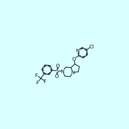 O=S(=O)(c1cccc(C(F)(F)F)c1)N1CCN2CCC(Oc3ccc(Cl)cn3)C2C1